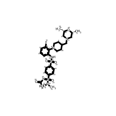 C[C@@H]1CN(CC2CCN(c3c(F)cccc3NS(=O)(=O)c3ccc(S(=O)(=NC(=O)C(F)(F)F)N(C)C)cc3)CC2)C[C@H](C)O1